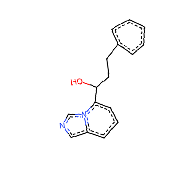 OC(CCc1ccccc1)c1cccc2cncn12